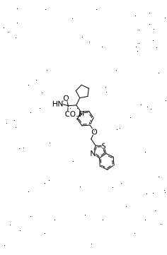 O=C(O)C1(C(c2ccc(OCc3nc4ccccc4s3)cc2)C2CCCC2)NO1